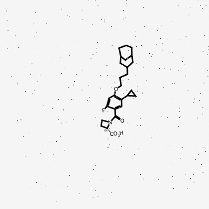 O=C(O)[C@@H]1CCN1C(=O)c1cc(C2CC2)c(OCCCC2CC3CCCC(C2)C3)cc1F